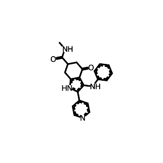 CNC(=O)C1CC(=O)c2c([nH]c(-c3ccncc3)c2Nc2ccccc2)C1